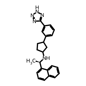 C[C@@H](NC1CCC(c2cccc(-c3nn[nH]n3)c2)C1)c1cccc2ccccc12